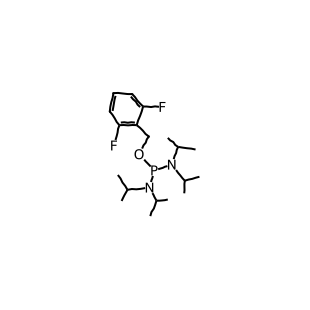 CC(C)N(C(C)C)P(OCc1c(F)cccc1F)N(C(C)C)C(C)C